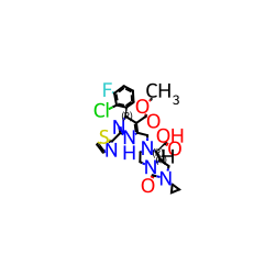 CCOC(=O)C1=C(CN2CCN3C(=O)N(C4CC4)C[C@H]3[C@@H]2C(=O)O)NC(c2nccs2)=N[C@H]1c1cccc(F)c1Cl